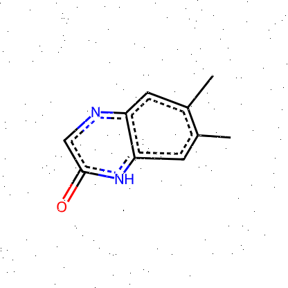 Cc1cc2ncc(=O)[nH]c2cc1C